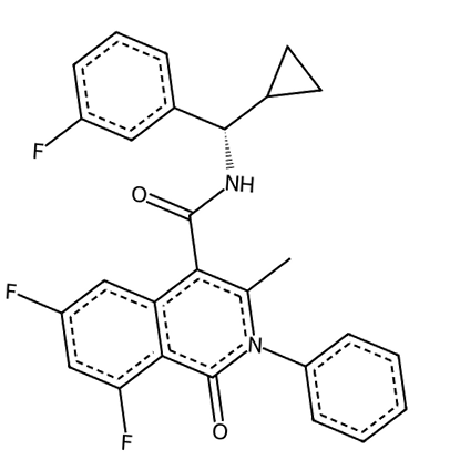 Cc1c(C(=O)N[C@H](c2cccc(F)c2)C2CC2)c2cc(F)cc(F)c2c(=O)n1-c1ccccc1